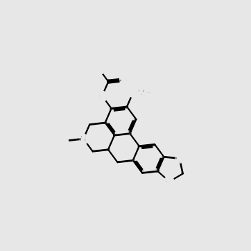 COc1cc2c3c(c1OC(=O)C(F)(F)F)CN(C)CC3Cc1cc3c(cc1-2)OCO3